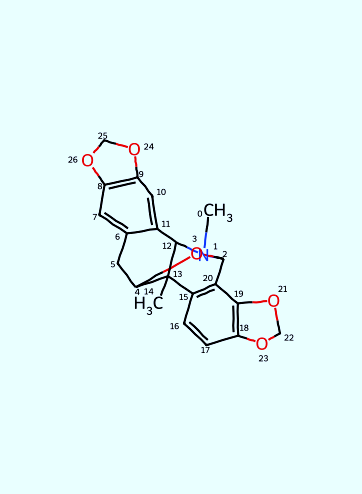 CN1C2OC3Cc4cc5c(cc4C1C3(C)c1ccc3c(c12)OCO3)OCO5